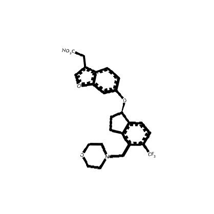 O=C(O)Cc1coc2cc(O[C@@H]3CCc4c3ccc(C(F)(F)F)c4CN3CCOCC3)ccc12